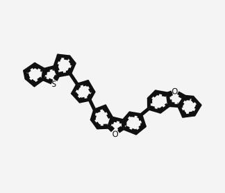 c1ccc2c(c1)oc1ccc(-c3ccc4oc5ccc(-c6ccc(-c7cccc8c7sc7ccccc78)cc6)cc5c4c3)cc12